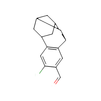 O=Cc1cc2c(cc1Br)C1CC3CC(C1)CC2C3